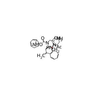 C=C(/C=C1\C(=C)N(C(C)=O)C(C)CN1C(=O)OC1NC2=CC=C1CCC2)C1=C(NC2CCNCC2)CC=CC=C1